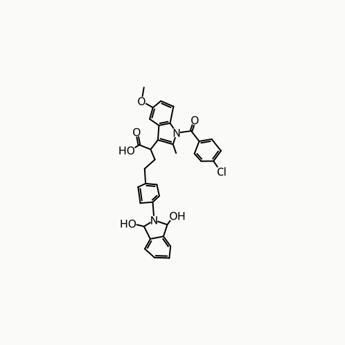 COc1ccc2c(c1)c(C(CCc1ccc(N3C(O)c4ccccc4C3O)cc1)C(=O)O)c(C)n2C(=O)c1ccc(Cl)cc1